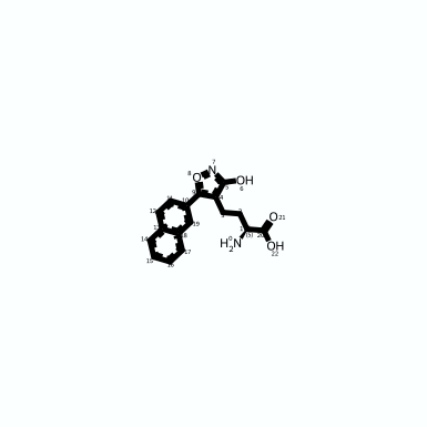 N[C@@H](CCc1c(O)noc1-c1ccc2ccccc2c1)C(=O)O